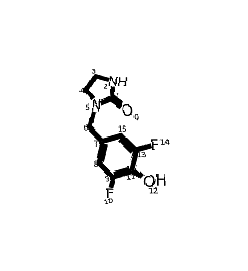 O=C1NCCN1Cc1cc(F)c(O)c(F)c1